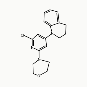 Clc1cc(N2CCCc3ccccc32)cc(N2CCOCC2)n1